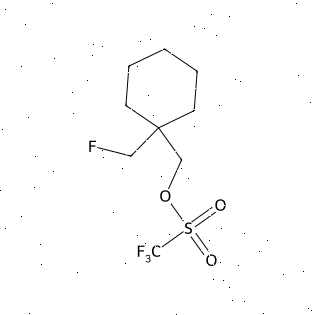 O=S(=O)(OCC1(CF)CCCCC1)C(F)(F)F